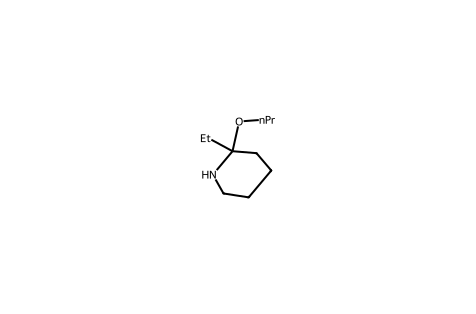 CCCOC1(CC)CCCCN1